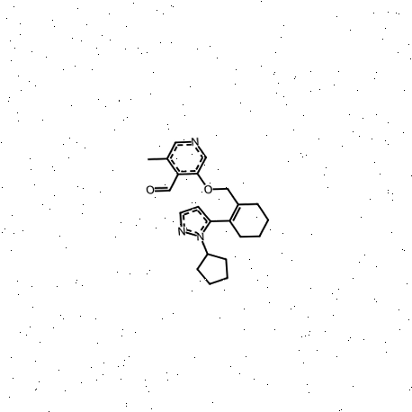 Cc1cncc(OCC2=C(c3ccnn3C3CCCC3)CCCC2)c1C=O